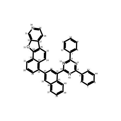 c1ccc(-c2nc(-c3ccccc3)nc(-c3cc(-c4cccc5c4ccc4c6ccncc6oc54)cc4ccccc34)n2)cc1